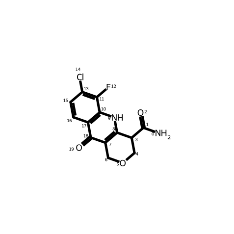 NC(=O)C1COCc2c1[nH]c1c(F)c(Cl)ccc1c2=O